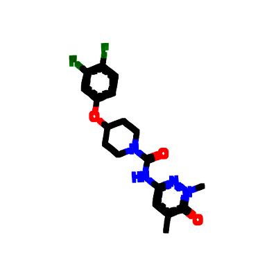 Cc1cc(NC(=O)N2CCC(Oc3ccc(F)c(F)c3)CC2)nn(C)c1=O